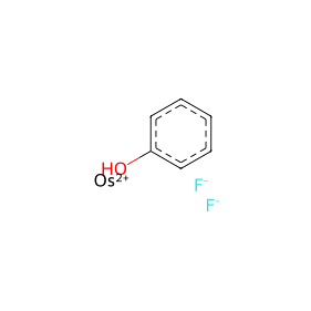 Oc1ccccc1.[F-].[F-].[Os+2]